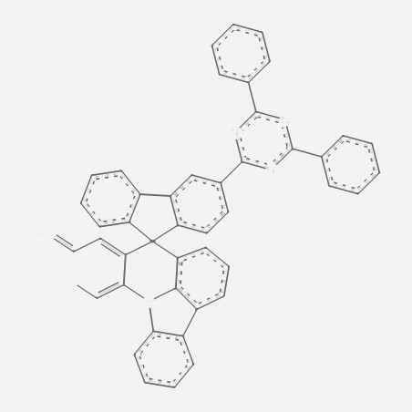 C=C/C=C1\C(=C/C)B2c3ccccc3-c3cccc(c32)C12c1ccccc1-c1cc(-c3nc(-c4ccccc4)nc(-c4ccccc4)n3)ccc12